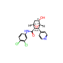 O=C(Nc1ccc(Cl)c(Cl)c1)[C@@H]1[C@H](c2ccncc2)[C@@H]2O[C@H]1C[C@H]2O